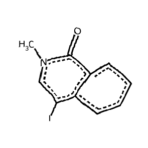 Cn1cc(I)c2ccccc2c1=O